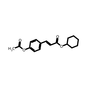 CC(=O)Oc1ccc(C=CC(=O)OC2CCCCC2)cc1